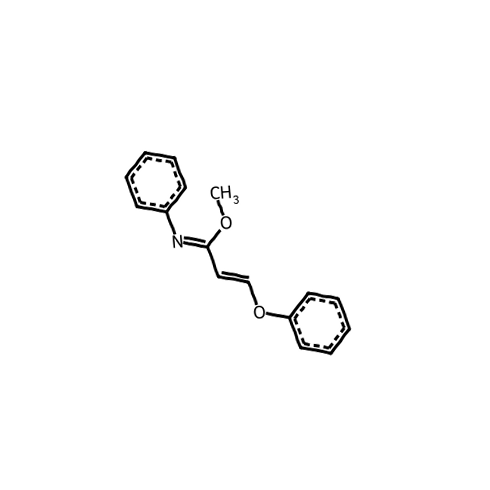 COC(C=COc1ccccc1)=Nc1ccccc1